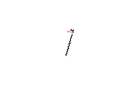 CCCCCCCCCCCCCCCCCSCC(C)C(C)O